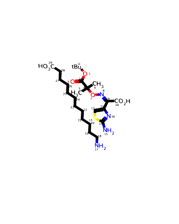 CC(C)(C)OC(=O)C(C)(C)O/N=C(/C(=O)O)c1csc(N)n1.NCCCCCCCCCCCC(=O)O